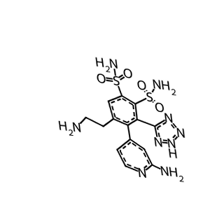 NCCc1cc(S(N)(=O)=O)c(S(N)(=O)=O)c(-c2nn[nH]n2)c1-c1ccnc(N)c1